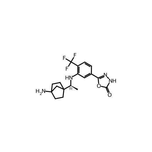 C[C@H](Nc1cc(-c2n[nH]c(=O)o2)ccc1C(F)(F)F)C12CCC(N)(CC1)C2